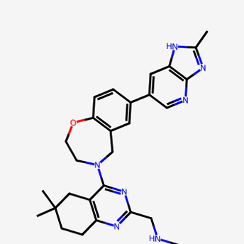 CNCc1nc2c(c(N3CCOc4ccc(-c5cnc6nc(C)[nH]c6c5)cc4C3)n1)CC(C)(C)CC2